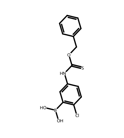 OB(O)c1cc(NC(=S)OCc2ccccc2)ccc1Cl